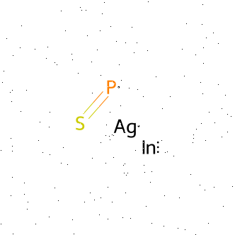 [Ag].[In].[P]=S